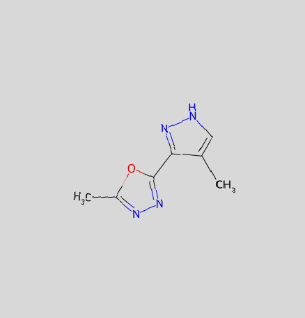 Cc1nnc(-c2n[nH]cc2C)o1